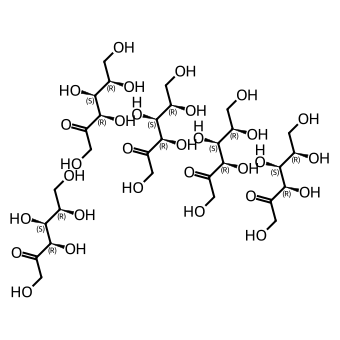 O=C(CO)[C@H](O)[C@@H](O)[C@H](O)CO.O=C(CO)[C@H](O)[C@@H](O)[C@H](O)CO.O=C(CO)[C@H](O)[C@@H](O)[C@H](O)CO.O=C(CO)[C@H](O)[C@@H](O)[C@H](O)CO.O=C(CO)[C@H](O)[C@@H](O)[C@H](O)CO